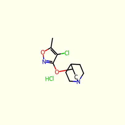 Cc1onc(OC2CN3CCC2CC3)c1Cl.Cl